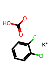 Clc1ccccc1Cl.O=C([O-])O.[K+]